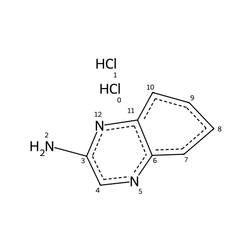 Cl.Cl.Nc1cnc2ccccc2n1